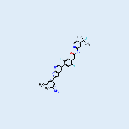 C=C/C=C(\C=C(/C)N)c1cc2cc(-c3cc(F)c(CC(=O)Nc4cc(C(C)(C)F)ccn4)cc3F)cnc2[nH]1